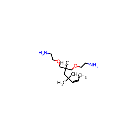 C/C=C\C(C)(C)CC(C)(COCCN)COCCN